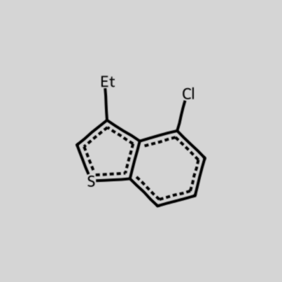 [CH2]Cc1csc2cccc(Cl)c12